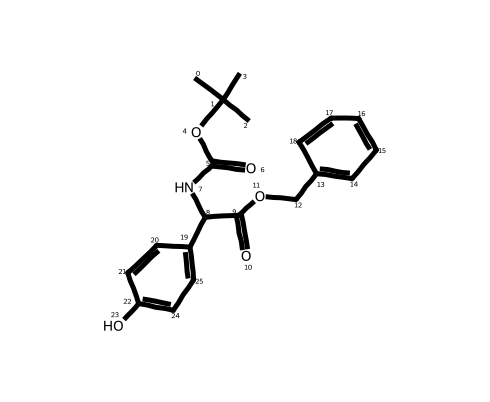 CC(C)(C)OC(=O)NC(C(=O)OCc1ccccc1)c1ccc(O)cc1